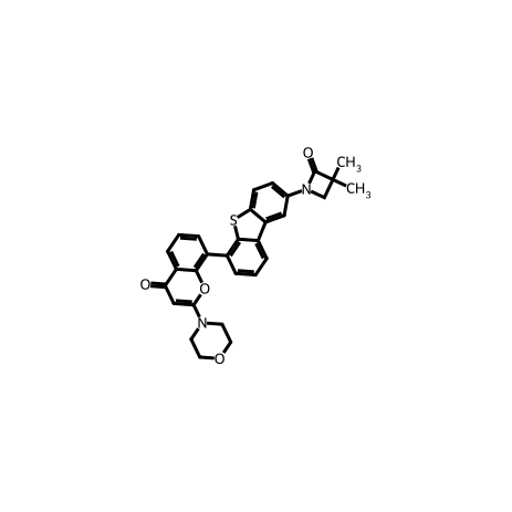 CC1(C)CN(c2ccc3sc4c(-c5cccc6c(=O)cc(N7CCOCC7)oc56)cccc4c3c2)C1=O